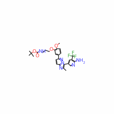 COc1ccc(-c2ccc3nc(C)c(-c4cnc(N)c(C(F)(F)F)c4)n3n2)cc1OCCCNC(=O)OC(C)(C)C